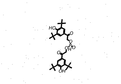 CC(C)(C)c1cc(C(=O)CO[PH](=O)OCC(=O)c2cc(C(C)(C)C)c(O)c(C(C)(C)C)c2)cc(C(C)(C)C)c1O